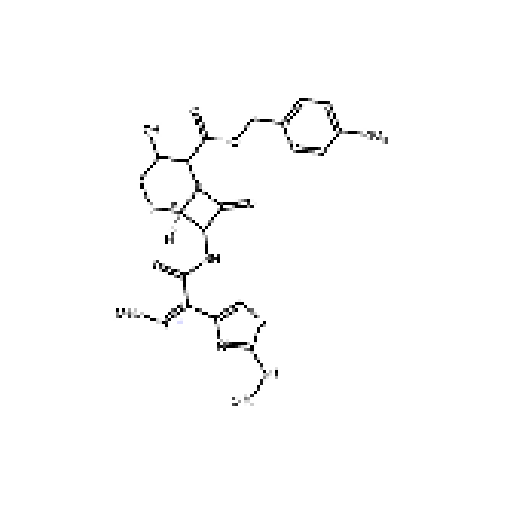 CO/N=C(\C(=O)NC1C(=O)N2C(C(=O)OCc3ccc([N+](=O)[O-])cc3)C(O)CS[C@H]12)c1csc(NC=O)n1